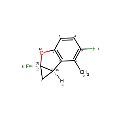 Cc1c(F)ccc2c1[C@H]1C[C@@]1(F)O2